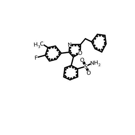 Cc1cc(-c2nc(Cc3ccccc3)oc2-c2ccccc2S(N)(=O)=O)ccc1F